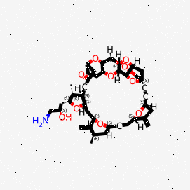 C=C1C[C@@H]2CC[C@@]34C[C@@H]5O[C@H]6[C@@H](O3)C3OC(CCC3O[C@H]6C5O4)CC(=O)C[C@@H]3[C@@H](C)[C@@H](C[C@H](O)CN)O[C@H]3C[C@H]3O[C@@H](CC[C@@H]1O2)C[C@@H](C)C3=C